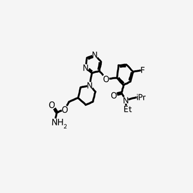 CCN(C(=O)c1cc(F)ccc1Oc1cncnc1N1CCCC(COC(N)=O)C1)C(C)C